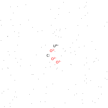 [C].[O-2].[O-2].[O-2].[U+6]